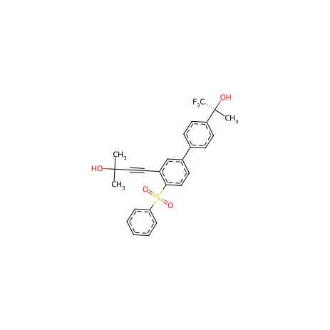 CC(C)(O)C#Cc1cc(-c2ccc([C@](C)(O)C(F)(F)F)cc2)ccc1S(=O)(=O)c1ccccc1